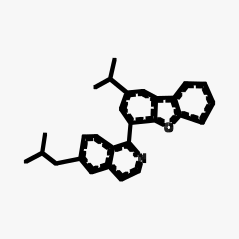 CC(C)Cc1ccc2c(-c3cc(C(C)C)cc4c3oc3ccccc34)nccc2c1